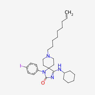 C=CCCCCCCCN1CCC2(CC1)C(NC1CCCCC1)=NC(=O)N2c1ccc(I)cc1